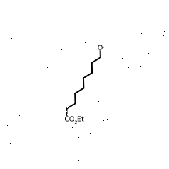 CCOC(=O)CCCCCCCC[O]